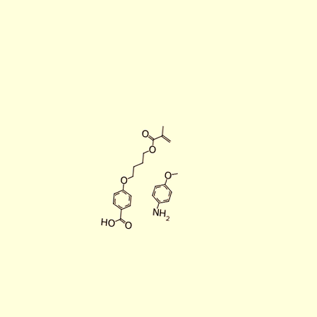 C=C(C)C(=O)OCCCCOc1ccc(C(=O)O)cc1.COc1ccc(N)cc1